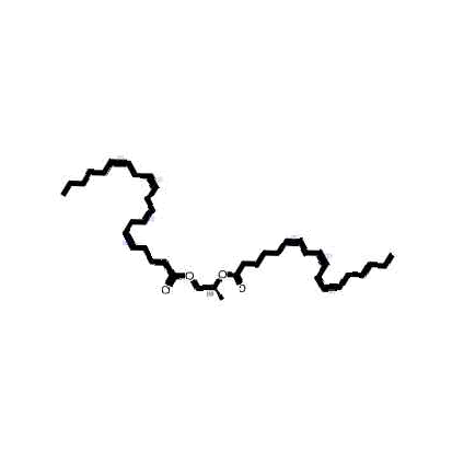 CCCCC/C=C\C/C=C\C/C=C\C/C=C\CCCC(=O)OC[C@H](C)OC(=O)CCCC/C=C\C/C=C\C/C=C\CCCCC